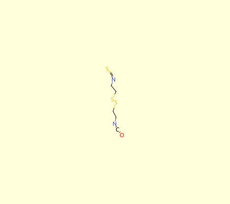 O=C=NCCSSCCN=C=S